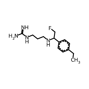 CCc1ccc(C(CF)NCCCNC(=N)N)cc1